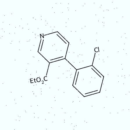 CCOC(=O)c1cnccc1-c1ccccc1Cl